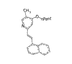 CCCCCOc1cc(/C=C/c2cccc3ccccc23)ncc1C